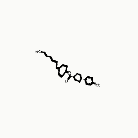 CCc1ccc([C@H]2CC[C@H](C(=O)OC3CCC(CC/C=C/C=CC#N)CC3)CC2)cc1